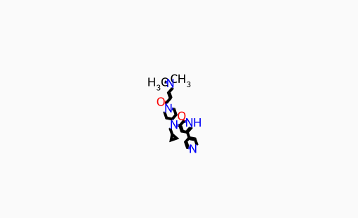 CN(C)CC=CC(=O)N1CCC(N(CC2CC2)c2cc(-c3ccncc3)c[nH]c2=O)CC1